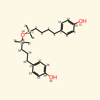 C[Si](C)(CCCCc1ccc(O)cc1)O[Si](C)(C)CCCc1ccc(O)cc1